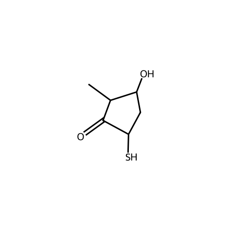 CC1C(=O)C(S)CC1O